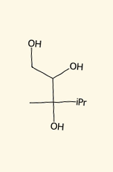 CC(C)C(C)(O)C(O)CO